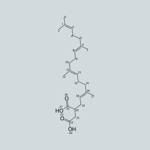 CC(C)=CCCC(C)=CCCC(C)=CCCC(C)=CCC(CC(=O)O)C(=O)O